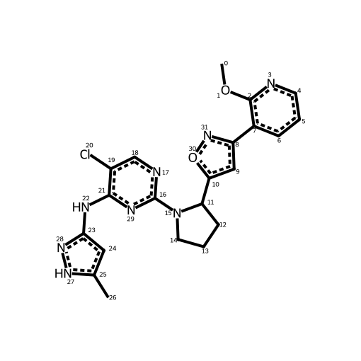 COc1ncccc1-c1cc(C2CCCN2c2ncc(Cl)c(Nc3cc(C)[nH]n3)n2)on1